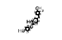 Cc1ccc(CC2CC[N+](O)(CCOc3ccc(O)cc3)CC2)cc1.Cl